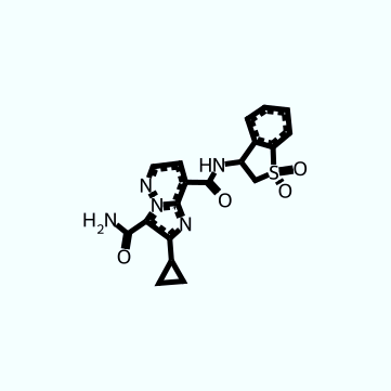 NC(=O)c1c(C2CC2)nc2c(C(=O)NC3CS(=O)(=O)c4ccccc43)ccnn12